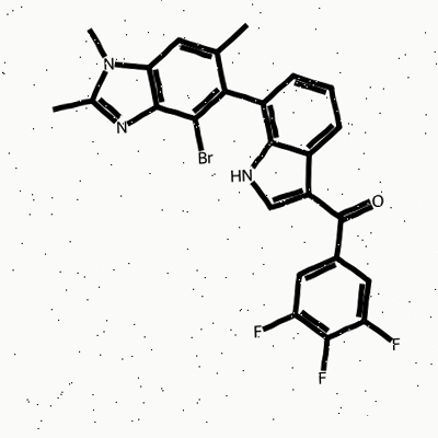 Cc1cc2c(nc(C)n2C)c(Br)c1-c1cccc2c(C(=O)c3cc(F)c(F)c(F)c3)c[nH]c12